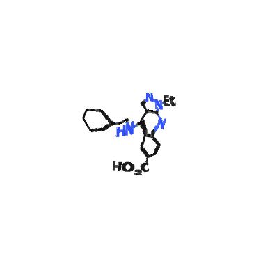 CCn1ncc2c(NCC3CCCCC3)c3cc(C(=O)O)ccc3nc21